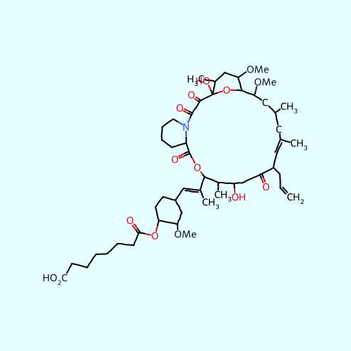 C=CCC1/C=C(/C)CC(C)CC(OC)C2OC(O)(C(=O)C(=O)N3CCCCC3C(=O)OC(/C(C)=C/C3CCC(OC(=O)CCCCCCC(=O)O)C(OC)C3)C(C)C(O)CC1=O)C(C)CC2OC